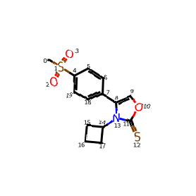 CS(=O)(=O)c1ccc(-c2coc(=S)n2C2CCC2)cc1